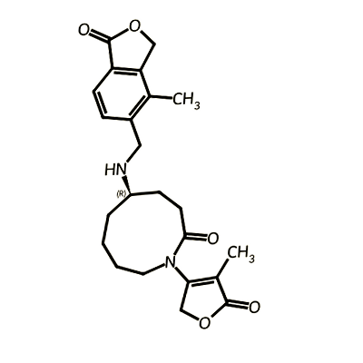 CC1=C(N2CCCC[C@@H](NCc3ccc4c(c3C)COC4=O)CCC2=O)COC1=O